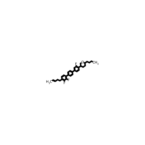 C/C=C/CCc1ccc(-c2ccc(-c3ccc(C4CCC(CCCC)OC4)c(F)c3)cc2)c(F)c1F